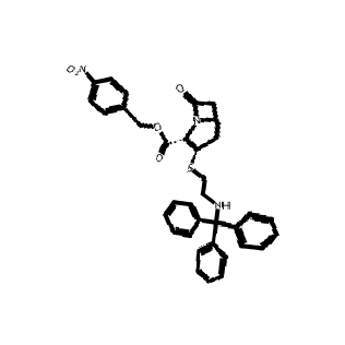 O=C(OCc1ccc([N+](=O)[O-])cc1)[C@H]1[C@H](SCCNC(c2ccccc2)(c2ccccc2)c2ccccc2)CC2CC(=O)N21